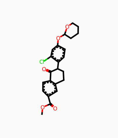 COC(=O)c1ccc2c(c1)CCC(c1ccc(OC3CCCCO3)cc1Cl)C2=O